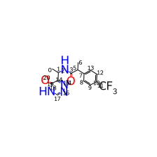 CC(NC(=O)C(C)c1ccc(C(F)(F)F)cc1)c1nnc[nH]c1=O